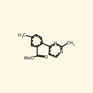 COC(=O)c1cc(C)ccc1-c1ccnc(C)n1